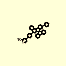 N#Cc1cc(-c2ccc(-c3cc4c(c5ccccc35)-c3ccc(-c5ccccc5)cc3C43c4ccccc4-c4ccccc43)cc2)ccn1